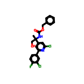 CC(CO)(NC(=O)OCc1ccccc1)c1cc(Cl)nc(-c2ccc(F)c(Cl)c2)c1